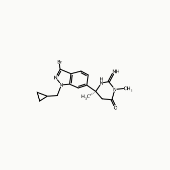 CN1C(=N)N[C@](C)(c2ccc3c(Br)nn(CC4CC4)c3c2)CC1=O